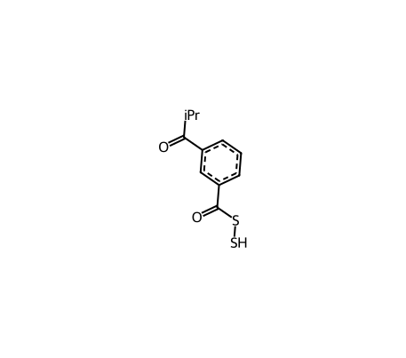 CC(C)C(=O)c1cccc(C(=O)SS)c1